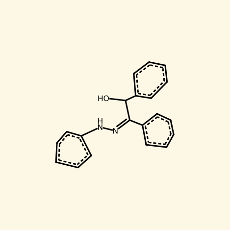 OC(C(=NNc1ccccc1)c1ccccc1)c1ccccc1